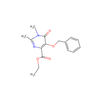 CCOC(=O)c1nc(C)n(C)c(=O)c1OCc1ccccc1